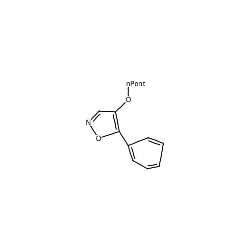 CCCCCOc1[c]noc1-c1ccccc1